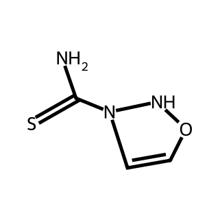 NC(=S)N1C=CON1